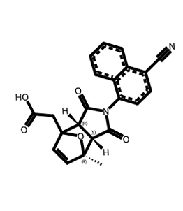 C[C@]12C=CC(CC(=O)O)(O1)[C@@H]1C(=O)N(c3ccc(C#N)c4ccccc34)C(=O)[C@@H]12